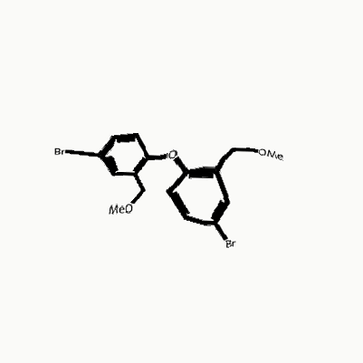 COCc1cc(Br)ccc1Oc1ccc(Br)cc1COC